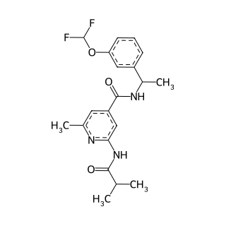 Cc1cc(C(=O)NC(C)c2cccc(OC(F)F)c2)cc(NC(=O)C(C)C)n1